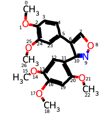 COc1ccc(-c2conc2-c2cc(OC)c(OC)cc2OC)cc1OC